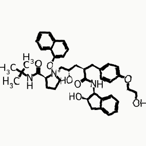 CC(C)(C)NC(=O)[C@@H]1CCC[N+]1(C[C@@H](O)C[C@@H](Cc1ccc(OCCO)cc1)C(=O)N[C@H]1c2ccccc2C[C@H]1O)Oc1cccc2ccccc12